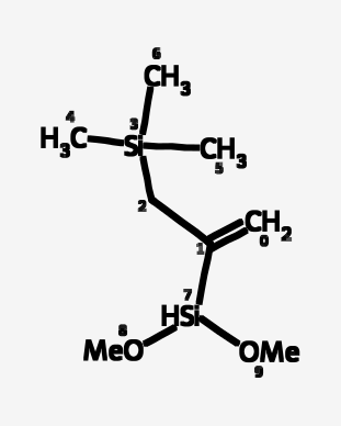 C=C(C[Si](C)(C)C)[SiH](OC)OC